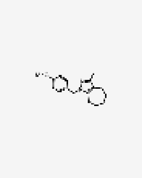 [CH]c1nn(Cc2ccc(OC)cc2)c2c1CCCCC2